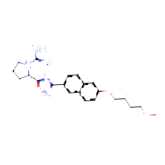 COCCCCOc1ccc2cc(-c3noc(C4CCCN4C(=N)N)n3)ccc2c1